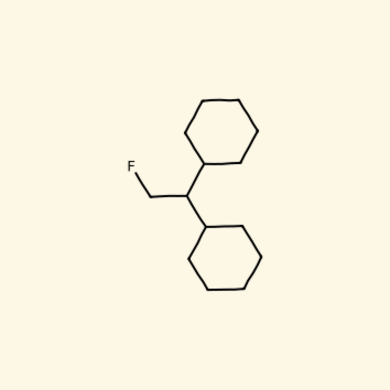 FCC(C1CCCCC1)C1CCCCC1